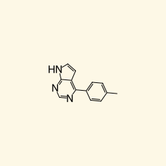 Cc1ccc(-c2ncnc3[nH]ccc23)cc1